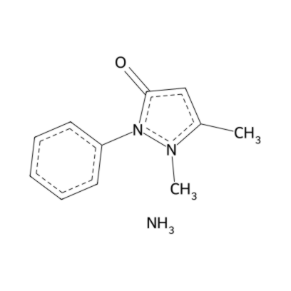 Cc1cc(=O)n(-c2ccccc2)n1C.N